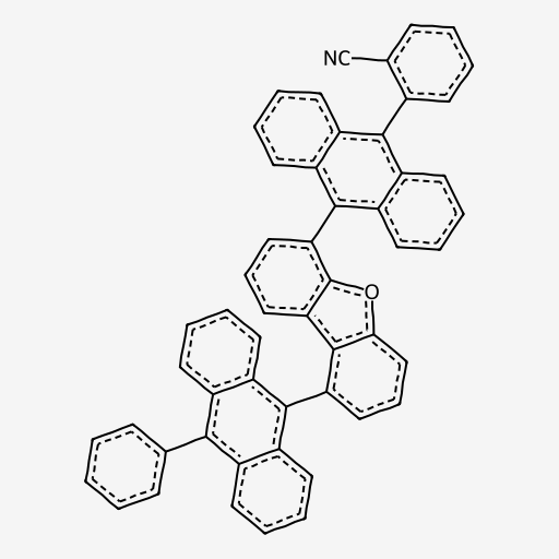 N#Cc1ccccc1-c1c2ccccc2c(-c2cccc3c2oc2cccc(-c4c5ccccc5c(-c5ccccc5)c5ccccc45)c23)c2ccccc12